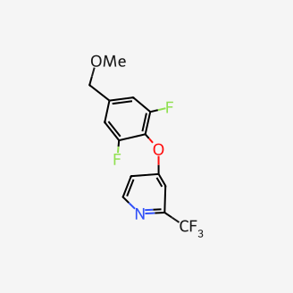 COCc1cc(F)c(Oc2ccnc(C(F)(F)F)c2)c(F)c1